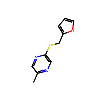 Cc1cnc(SCc2ccco2)cn1